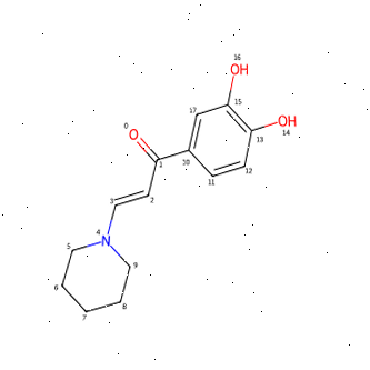 O=C(/C=C/N1CCCCC1)c1ccc(O)c(O)c1